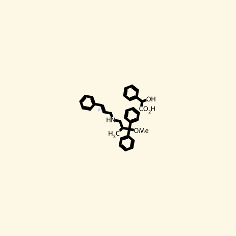 COC(c1ccccc1)(c1ccccc1)C(C)CNC/C=C/c1ccccc1.O=C(O)C(O)c1ccccc1